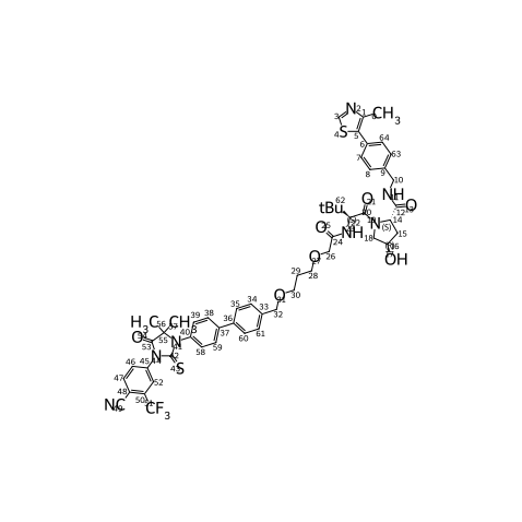 Cc1ncsc1-c1ccc(CNC(=O)[C@@H]2C[C@@H](O)CN2C(=O)[C@@H](NC(=O)COCCCOCc2ccc(-c3ccc(N4C(=S)N(c5ccc(C#N)c(C(F)(F)F)c5)C(=O)C4(C)C)cc3)cc2)C(C)(C)C)cc1